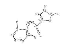 Cc1cccc(C)c1NC(=O)C1=NOC(C)C1